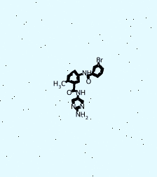 Cc1ccc(NC(=O)c2cccc(Br)c2)cc1C(=O)Nc1cnc(N)nc1